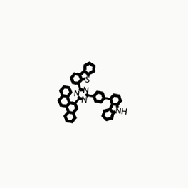 c1ccc2c(c1)cc(-c1nc(-c3ccc(-c4cccc5[nH]c6ccccc6c45)cc3)nc(-c3cccc4c3sc3ccccc34)n1)c1c3ccccc3ccc21